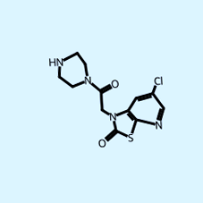 O=C(Cn1c(=O)sc2ncc(Cl)cc21)N1CCNCC1